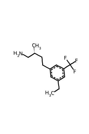 CCc1cc(CC[C@@H](C)CN)cc(C(F)(F)F)c1